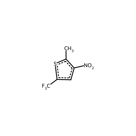 Cc1sc(C(F)(F)F)cc1[N+](=O)[O-]